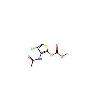 COC(=O)Oc1scc(Cl)c1NC(C)=O